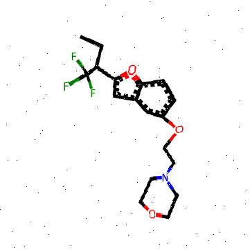 CCC(c1cc2cc(OCCN3CCOCC3)ccc2o1)C(F)(F)F